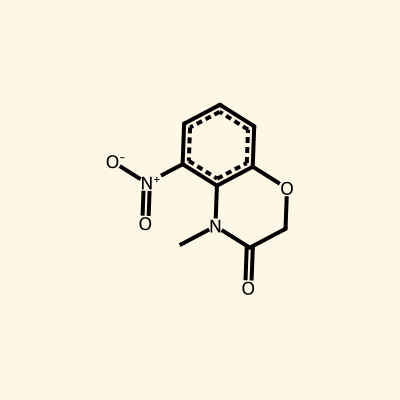 CN1C(=O)COc2cccc([N+](=O)[O-])c21